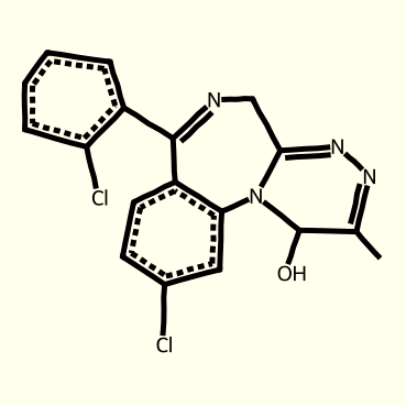 CC1=NN=C2CN=C(c3ccccc3Cl)c3ccc(Cl)cc3N2C1O